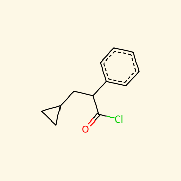 O=C(Cl)C(CC1CC1)c1ccccc1